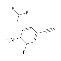 N#Cc1cc(F)c(N)c(CC(F)F)c1